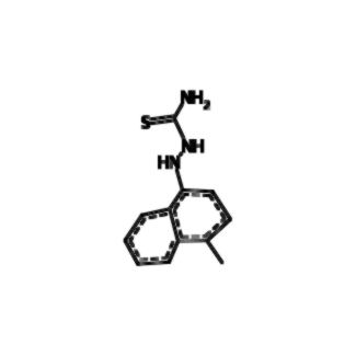 Cc1ccc(NNC(N)=S)c2ccccc12